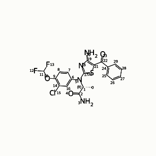 C[C@H](C(N)=O)N(c1ccc(OC(F)F)c(Cl)c1)c1nc(N)c(C(=O)c2ccccc2)s1